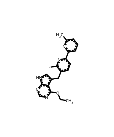 CCOc1ncnc2[nH]cc(Cc3ccc(-c4[c]ccc(C)n4)nc3F)c12